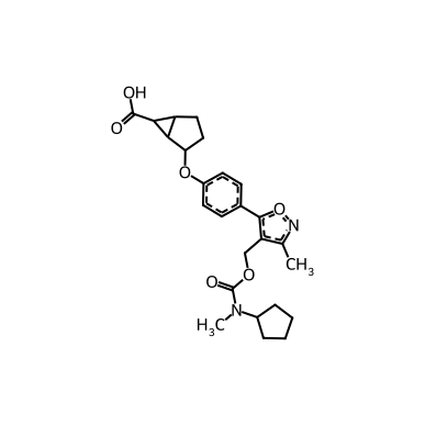 Cc1noc(-c2ccc(OC3CCC4C(C(=O)O)C34)cc2)c1COC(=O)N(C)C1CCCC1